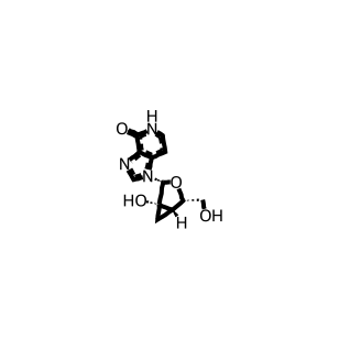 O=c1[nH]ccc2c1ncn2[C@@H]1O[C@H](CO)[C@@H]2C[C@]21O